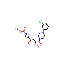 CC(CC(=O)C1CN(C(=O)OC(C)(C)C)C1)C(=O)N1CCN(c2cc(Cl)cc(Cl)c2)CC1